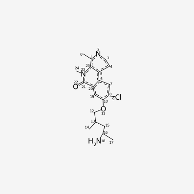 Cc1nccc2c3cc(Cl)c(OCC(C)CC(C)N)cc3c(=O)n(C)c12